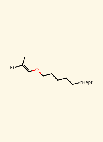 CCCCCCCCCCCCOC=C(C)CC